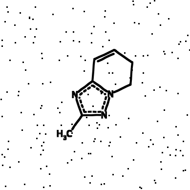 Cc1nc2n(n1)CCC=C2